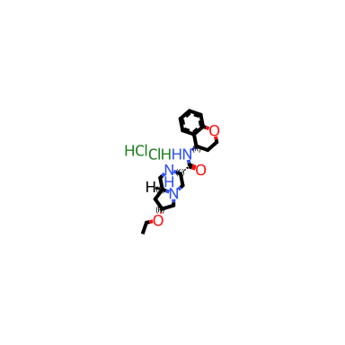 CCO[C@@H]1C[C@@H]2CN[C@H](C(=O)N[C@@H]3CCOc4ccccc43)CN2C1.Cl.Cl